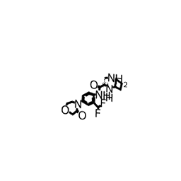 NC[C@H](NC1CCC1)C(=O)Nc1ccc(N2CCOCC2=O)cc1C(F)F